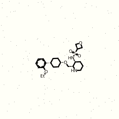 CCOc1ccccc1[C@H]1CC[C@@H](OC[C@@H]2NCCC[C@@H]2NS(=O)(=O)C2COC2)CC1